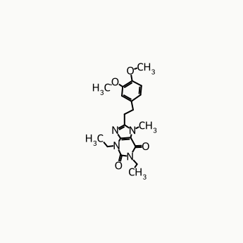 CCn1c(=O)c2c(nc(CCc3ccc(OC)c(OC)c3)n2C)n(CC)c1=O